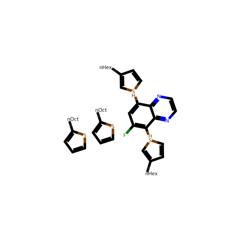 CCCCCCC1=C[SH](c2cc(F)c([SH]3C=CC(CCCCCC)=C3)c3nccnc23)C=C1.CCCCCCCCc1cccs1.CCCCCCCCc1cccs1